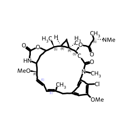 CN[C@@H](C)C(=O)O[C@H]1CC(=O)N(C)c2cc(cc(OC)c2Cl)C/C(C)=C/C=C/[C@@H](OC)C2CC(OC(=O)N2)[C@@H](C)[C@H]2C[C@@]12C